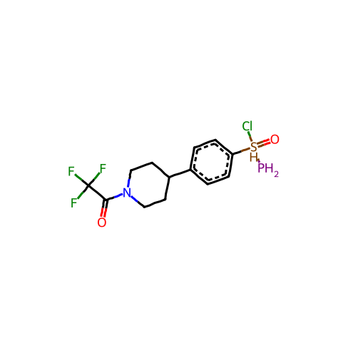 O=C(N1CCC(c2ccc([SH](=O)(P)Cl)cc2)CC1)C(F)(F)F